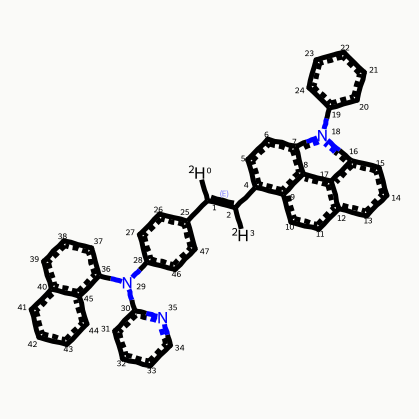 [2H]/C(=C(/[2H])c1ccc2c3c1ccc1cccc(c13)n2-c1ccccc1)c1ccc(N(c2ccccn2)c2cccc3ccccc23)cc1